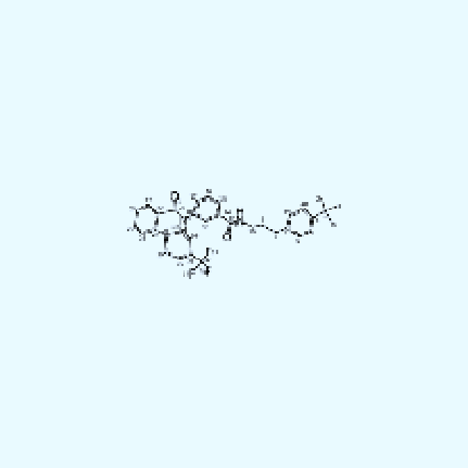 CC(C)(C)c1ccc(CCCNC(=O)c2cccc(NC(=O)c3ccccc3-c3ccc(C(F)(F)F)cc3)c2)cc1